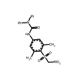 Cc1cc(NC(=O)N(C(C)C)C(C)C)cc(C)c1S(=O)(=O)C[N+](=O)[O-]